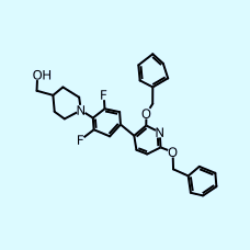 OCC1CCN(c2c(F)cc(-c3ccc(OCc4ccccc4)nc3OCc3ccccc3)cc2F)CC1